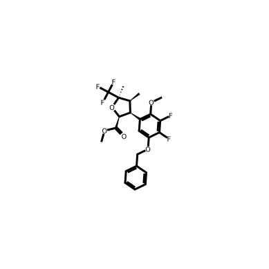 COC(=O)[C@H]1O[C@@](C)(C(F)(F)F)[C@@H](C)[C@H]1c1cc(OCc2ccccc2)c(F)c(F)c1OC